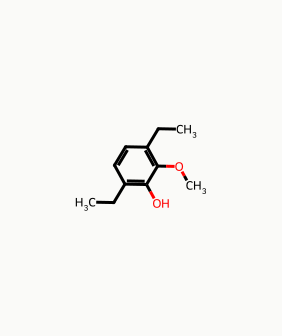 CCc1ccc(CC)c(OC)c1O